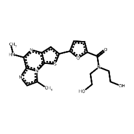 CNc1nc2cc(-c3ccc(C(=O)N(CCO)CCO)o3)sc2n2c(C)cnc12